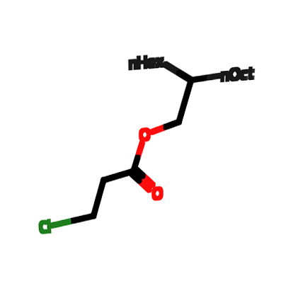 CCCCCCCCC(CCCCCC)COC(=O)CCCl